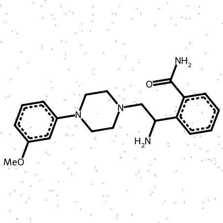 COc1cccc(N2CCN(CC(N)c3ccccc3C(N)=O)CC2)c1